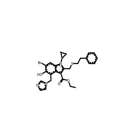 CCOC(=O)c1c(CSCCc2ccccc2)n(C2CC2)c2cc(Br)c(O)c(Cn3ccnc3)c12